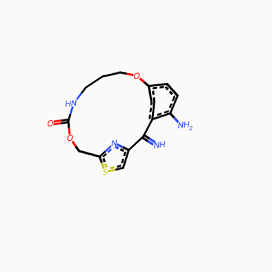 N=C1c2csc(n2)COC(=O)NCCCOc2ccc(N)c1c2